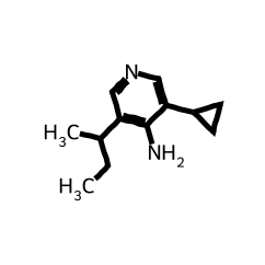 CCC(C)c1cncc(C2CC2)c1N